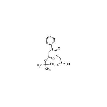 CC(C)(C)OC(=O)CN(C(=O)CCC(=O)O)c1ccccc1